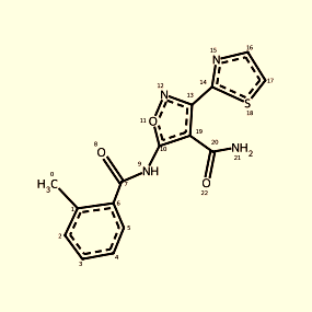 Cc1ccccc1C(=O)Nc1onc(-c2nccs2)c1C(N)=O